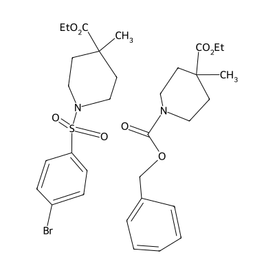 CCOC(=O)C1(C)CCN(C(=O)OCc2ccccc2)CC1.CCOC(=O)C1(C)CCN(S(=O)(=O)c2ccc(Br)cc2)CC1